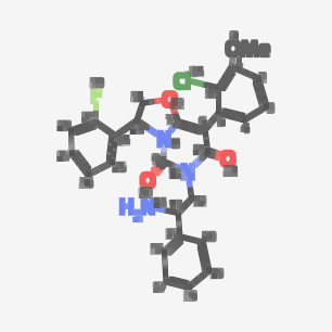 COc1cccc(-c2c3n(c(=O)n(CC(N)c4ccccc4)c2=O)C(c2ccccc2F)CO3)c1Cl